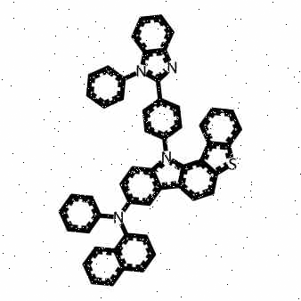 c1ccc(N(c2ccc3c(c2)c2ccc4sc5ccccc5c4c2n3-c2ccc(-c3nc4ccccc4n3-c3ccccc3)cc2)c2cccc3ccccc23)cc1